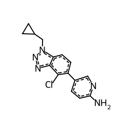 Nc1ccc(-c2ccc3c(nnn3CC3CC3)c2Cl)cn1